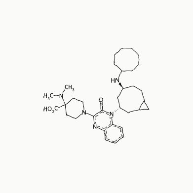 CN(C)C1(C(=O)O)CCN(c2nc3ccccc3n([C@H]3CC4CC4CC[C@H](NC4CCCCCCC4)C3)c2=O)CC1